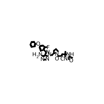 CC(C)(C=C(C#N)C(=O)N1CCCC1Cn1nc(-c2ccc(Oc3ccccc3)cc2F)c2c(N)ncnc21)NC1COC1